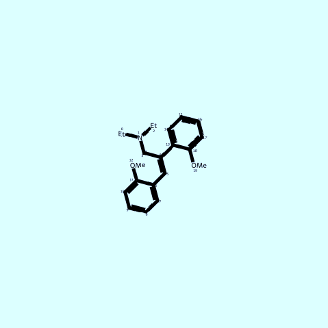 CCN(CC)CC(=Cc1ccccc1OC)c1ccccc1OC